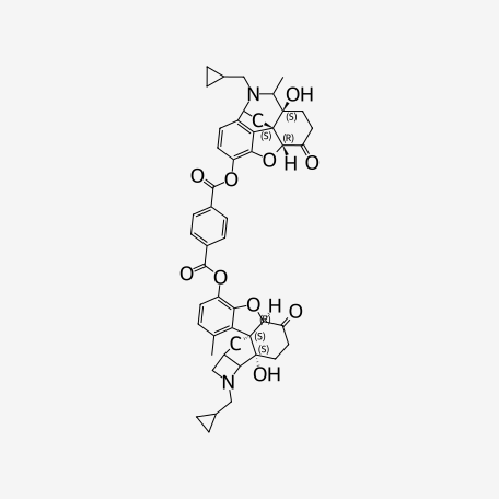 Cc1ccc(OC(=O)c2ccc(C(=O)Oc3ccc4c5c3O[C@H]3C(=O)CC[C@@]6(O)C(C)N(CC7CC7)C4C[C@]536)cc2)c2c1[C@]13CC4CN(CC5CC5)C4[C@]1(O)CCC(=O)[C@@H]3O2